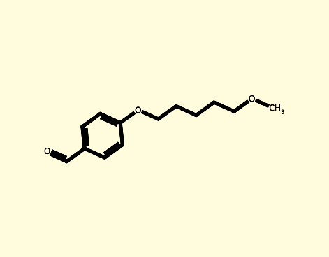 COCCCCCOc1ccc(C=O)cc1